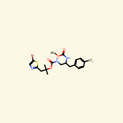 CC(C)(C)OC(=O)NC(CNC(=O)OC(C)(C)Cc1ncc(Br)s1)Cc1ccc(C(F)(F)F)cc1